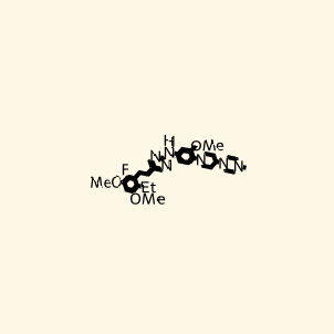 CCc1c(OC)cc(OC)c(F)c1CCc1cnc(Nc2ccc(N3CCC(N4CCN(C)CC4)CC3)c(OC)c2)nc1